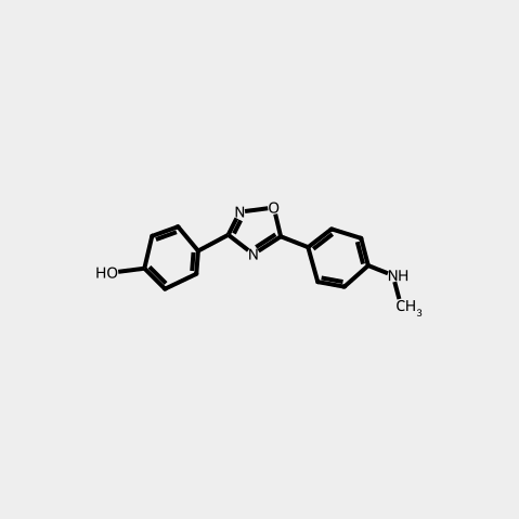 CNc1ccc(-c2nc(-c3ccc(O)cc3)no2)cc1